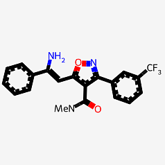 CNC(=O)c1c(-c2cccc(C(F)(F)F)c2)noc1C=C(N)c1ccccc1